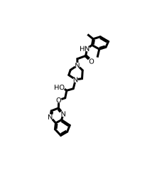 Cc1cccc(C)c1NC(=O)CN1CCN(CC(O)COc2cnc3ccccc3n2)CC1